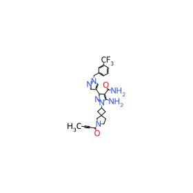 CC#CC(=O)N1CCC2(CC(n3nc(-c4cnn(Cc5cccc(C(F)(F)F)c5)c4)c(C(N)=O)c3N)C2)C1